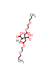 C=C(C(=O)O)C(CC(=O)OCCOCCC)(CC(=O)OCCOCCC)C(=O)O